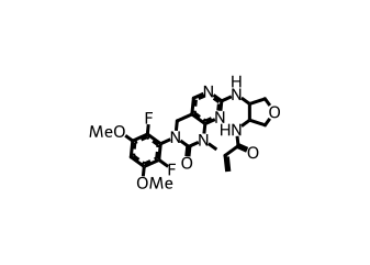 C=CC(=O)NC1COCC1Nc1ncc2c(n1)N(C)C(=O)N(c1c(F)c(OC)cc(OC)c1F)C2